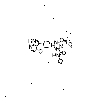 COC[C@@H](C)Oc1nc(C(=O)NC2CCC2)nc(N2CCC(c3c[nH]c4nccc(OC)c34)CC2)n1